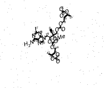 C#C[C@](COC(=O)OCc1oc(=O)oc1C)(OC)[C@H](Cn1cnc2c(N)nc(I)nc21)OC(=O)OCc1oc(=O)oc1C